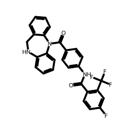 O=C(Nc1ccc(C(=O)N2c3ccccc3CNc3ccccc32)cc1)c1ccc(F)cc1C(F)(F)F